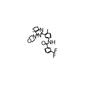 Cc1ccc(NC(=O)c2cccc(C(F)F)c2)cc1-c1nc2c(c(N3CCOCC3)n1)SCC2